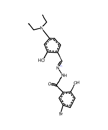 CCN(CC)c1ccc(/C=N/NC(=O)c2cc(Br)ccc2O)c(O)c1